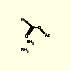 CCC(=O)OC(C)=O.N.N